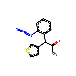 CC(=O)C(c1ccsc1)c1ccccc1N=[N+]=[N-]